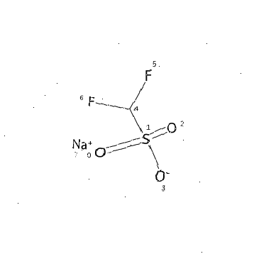 O=S(=O)([O-])C(F)F.[Na+]